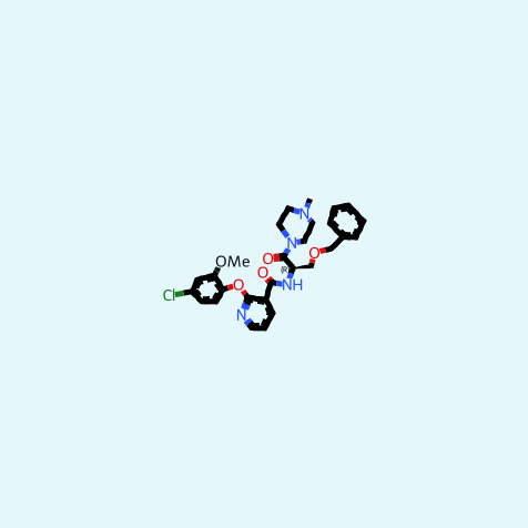 COc1cc(Cl)ccc1Oc1ncccc1C(=O)N[C@H](COCc1ccccc1)C(=O)N1CCN(C)CC1